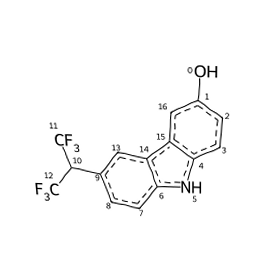 Oc1ccc2[nH]c3ccc(C(C(F)(F)F)C(F)(F)F)cc3c2c1